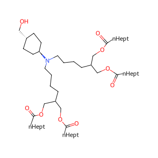 CCCCCCCC(=O)OCC(CCCCN(CCCCC(COC(=O)CCCCCCC)COC(=O)CCCCCCC)[C@H]1CC[C@H](CO)CC1)COC(=O)CCCCCCC